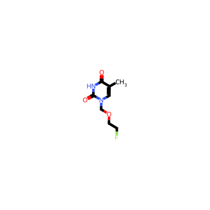 Cc1cn(COCCF)c(=O)[nH]c1=O